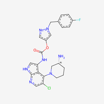 N[C@@H]1CCCN(c2c(Cl)cnc3[nH]cc(NC(=O)Oc4cnn(Cc5ccc(F)cc5)c4)c23)C1